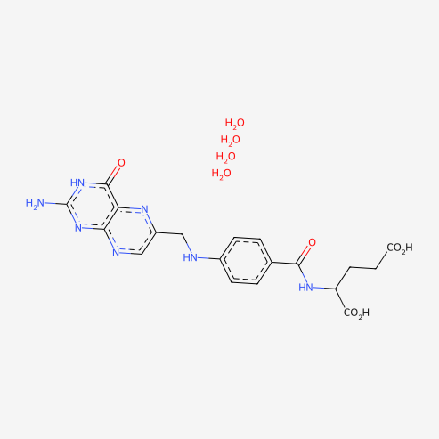 Nc1nc2ncc(CNc3ccc(C(=O)NC(CCC(=O)O)C(=O)O)cc3)nc2c(=O)[nH]1.O.O.O.O